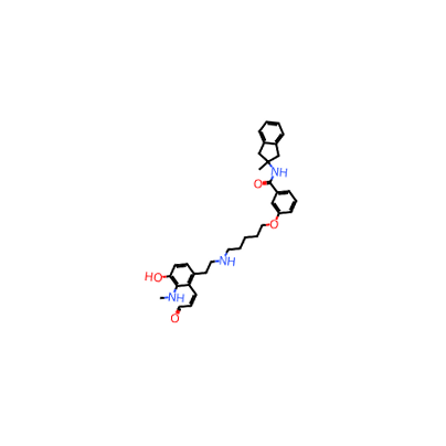 CNc1c(O)ccc(CCNCCCCCOc2cccc(C(=O)NC3(C)Cc4ccccc4C3)c2)c1/C=C\C=O